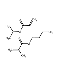 C=C(C)C(=O)OCCCC.C=CC(=O)OC(C)C